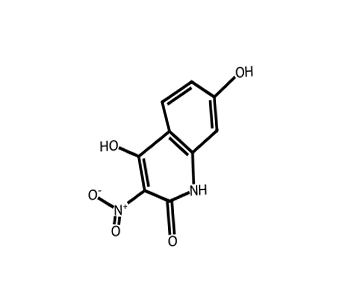 O=c1[nH]c2cc(O)ccc2c(O)c1[N+](=O)[O-]